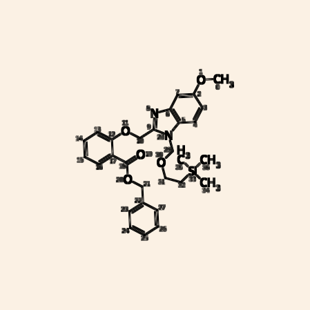 COc1ccc2c(c1)nc(COc1ccccc1C(=O)OCc1ccccc1)n2COCC[Si](C)(C)C